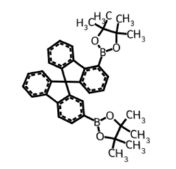 CC1(C)OB(c2ccc3c(c2)C2(c4ccccc4-3)c3ccccc3-c3c(B4OC(C)(C)C(C)(C)O4)cccc32)OC1(C)C